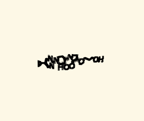 O=C1[C@H](OCCCO)CCN1[C@@H]1CCN(c2ncc(C3CC3)cn2)C[C@H]1O